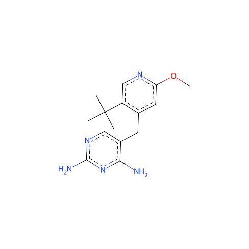 COc1cc(Cc2cnc(N)nc2N)c(C(C)(C)C)cn1